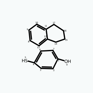 Oc1ccc(S)cc1.c1ccc2c(c1)CCCC2